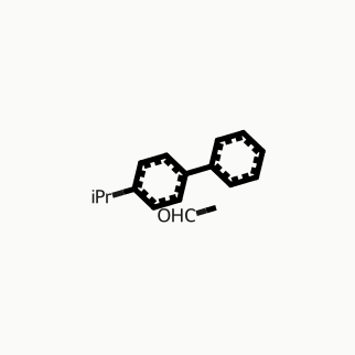 CC(C)c1ccc(-c2ccccc2)cc1.CC=O